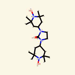 CC1(C)CC(N2CCN(C3CC(C)(C)N(O)C(C)(C)C3)C2=O)CC(C)(C)N1O